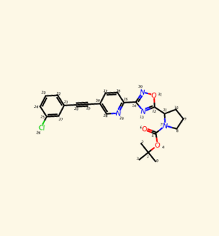 CC(C)(C)OC(=O)N1CCCC1c1nc(-c2ccc(C#Cc3cccc(Cl)c3)cn2)no1